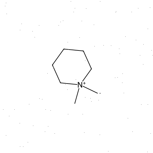 [CH2][N+]1(C)CCCCC1